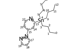 CCC[CH2][Sn]([CH2]CCC)([CH2]CCC)[c]1cc(-n2cccn2)ccn1